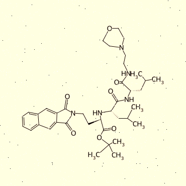 CC(C)C[C@H](NC(=O)[C@H](CC(C)C)N[C@H](CCN1C(=O)c2cc3ccccc3cc2C1=O)C(=O)OC(C)(C)C)C(=O)NCCN1CCOCC1